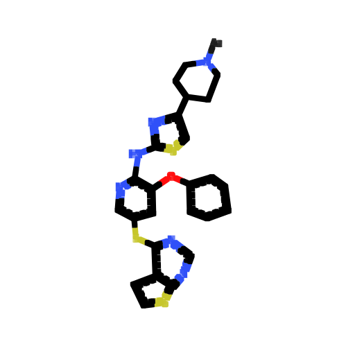 CC(=O)N1CCC(c2csc(Nc3ncc(Sc4ncnc5sccc45)cc3Oc3ccccc3)n2)CC1